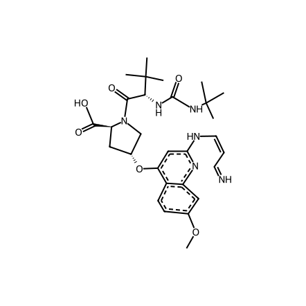 COc1ccc2c(O[C@@H]3C[C@@H](C(=O)O)N(C(=O)[C@@H](NC(=O)NC(C)(C)C)C(C)(C)C)C3)cc(N/C=C\C=N)nc2c1